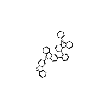 C1=CC2=C(CC1)C1C=C(N3C4=C(C=CCC4)C4C=C(c5ccccc5C5CC=Cc6c5c5c(n6C6=CCCCC6)CCC=C5)C=CC43)C=CC1S2